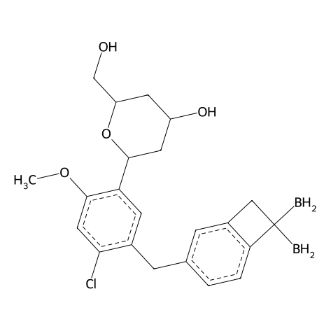 BC1(B)Cc2cc(Cc3cc(C4CC(O)CC(CO)O4)c(OC)cc3Cl)ccc21